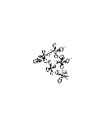 O=S(=O)([O-])OOS(=O)(=O)[O-].O=S(=O)([O-])OOS(=O)(=O)[O-].O=S(=O)([O-])[O-].[Fe+3].[Fe+3]